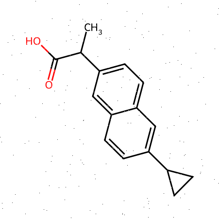 CC(C(=O)O)c1ccc2cc(C3CC3)ccc2c1